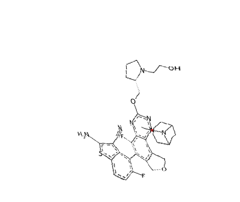 CN1CC2CC(C1)N2c1nc(OC[C@@H]2CCCN2CCO)nc2c(F)c(-c3c(F)ccc4sc(N)c(C#N)c34)c3c(c12)COC3